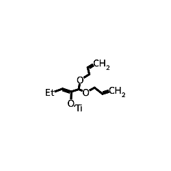 C=CCOC(OCC=C)C(=CCC)[O][Ti]